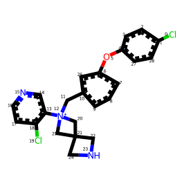 Clc1ccc(Oc2cccc(C[N+]3(c4cnccc4Cl)CC4(CNC4)C3)c2)cc1